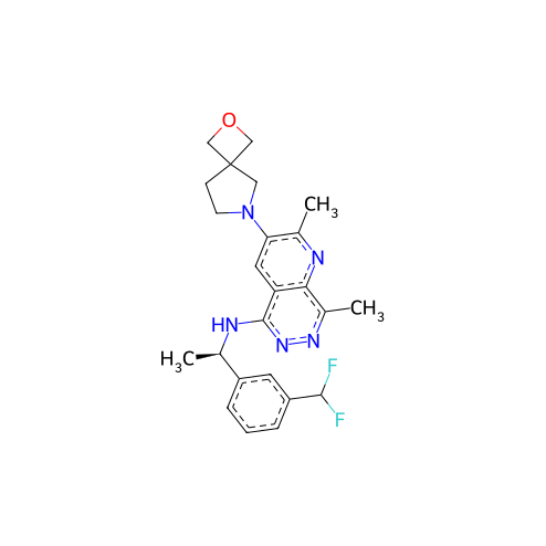 Cc1nc2c(C)nnc(N[C@H](C)c3cccc(C(F)F)c3)c2cc1N1CCC2(COC2)C1